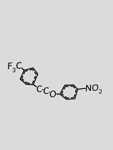 O=[N+]([O-])c1ccc(OCCc2ccc(C(F)(F)F)cc2)cc1